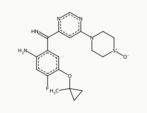 CC1(Oc2cc(C(=N)c3cc(N4CC[S+]([O-])CC4)ncn3)c(N)cc2F)CC1